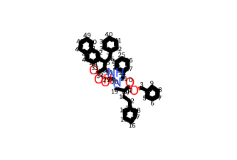 O=C(OCc1ccccc1)[C@@H](CCc1ccccc1)CN(Cc1ccccc1)C(=O)N[C@H](C(=O)O)C(Cc1ccccc1)c1ccc2ccccc2c1